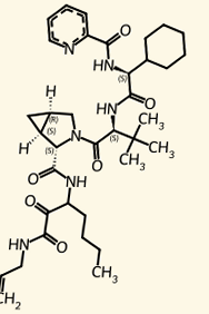 C=CCNC(=O)C(=O)C(CCCC)NC(=O)[C@@H]1[C@H]2C[C@H]2CN1C(=O)[C@@H](NC(=O)[C@@H](NC(=O)c1ccccn1)C1CCCCC1)C(C)(C)C